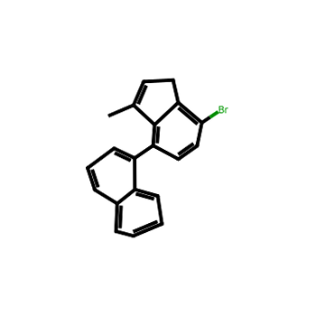 CC1=CCc2c(Br)ccc(-c3cccc4ccccc34)c21